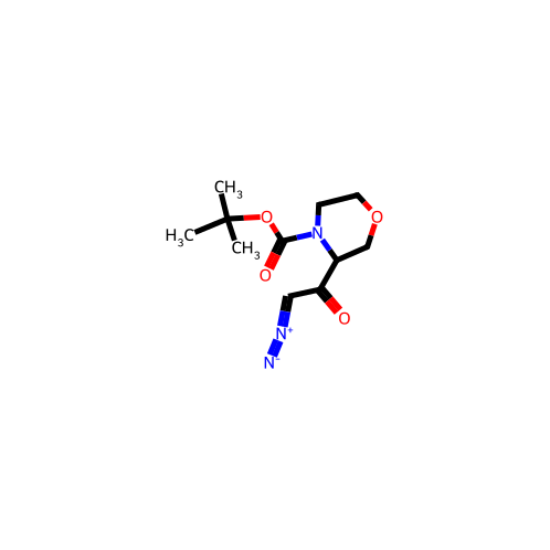 CC(C)(C)OC(=O)N1CCOCC1C(=O)C=[N+]=[N-]